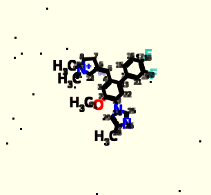 COc1cc(/C=C2/CC[N+](C)(C)C2)c(-c2ccc(F)c(F)c2)cc1-n1cnc(C)c1